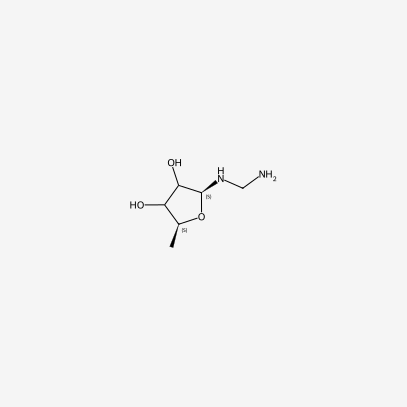 C[C@@H]1O[C@H](NCN)C(O)C1O